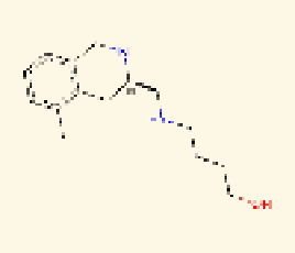 Cc1cccc2c1C[C@H](CNCCCCO)NC2